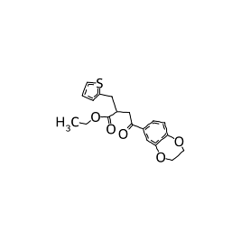 CCOC(=O)C(CC(=O)c1ccc2c(c1)OCCO2)Cc1cccs1